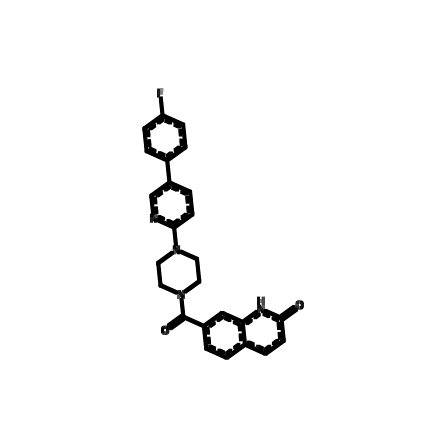 O=C(c1ccc2ccc(=O)[nH]c2c1)N1CCN(c2ccc(-c3ccc(F)cc3)cn2)CC1